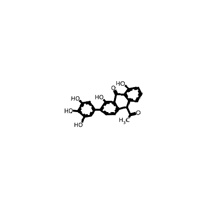 CC(=O)C1c2cccc(O)c2C(=O)c2c1ccc(-c1cc(O)c(O)c(O)c1)c2O